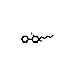 CCCCCC1(F)C=CC(c2ccccc2)C(F)=C1